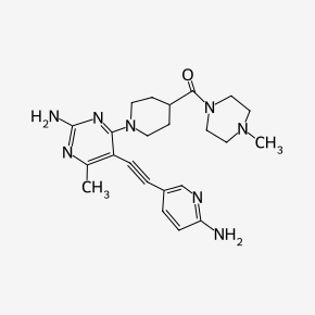 Cc1nc(N)nc(N2CCC(C(=O)N3CCN(C)CC3)CC2)c1C#Cc1ccc(N)nc1